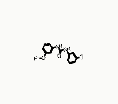 CCOc1cccc(NC(=O)Nc2cccc(Cl)c2)c1